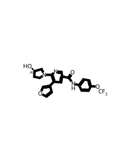 O=C(Nc1ccc(OC(F)(F)F)cc1)c1cnc(N2CC[C@@H](O)C2)c(-c2ccoc2)c1